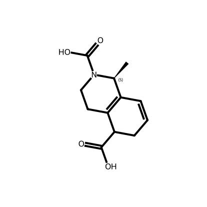 C[C@H]1C2=C(CCN1C(=O)O)C(C(=O)O)CC=C2